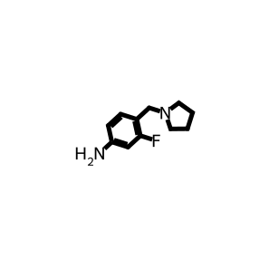 Nc1ccc(CN2CCCC2)c(F)c1